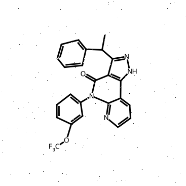 CC(c1ccccc1)c1n[nH]c2c1c(=O)n(-c1cccc(OC(F)(F)F)c1)c1ncccc21